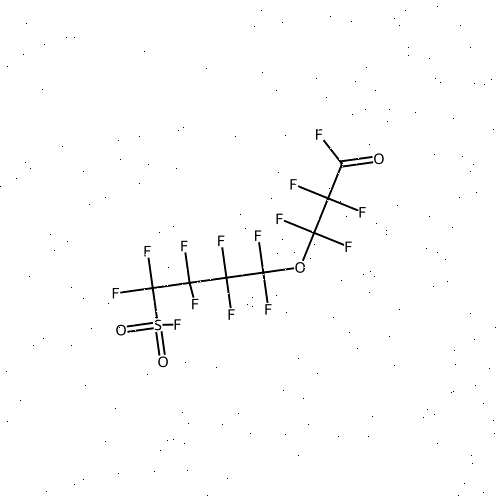 O=C(F)C(F)(F)C(F)(F)OC(F)(F)C(F)(F)C(F)(F)C(F)(F)S(=O)(=O)F